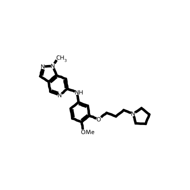 COc1ccc(Nc2cc3c(cn2)cnn3C)cc1OCCCN1CCCC1